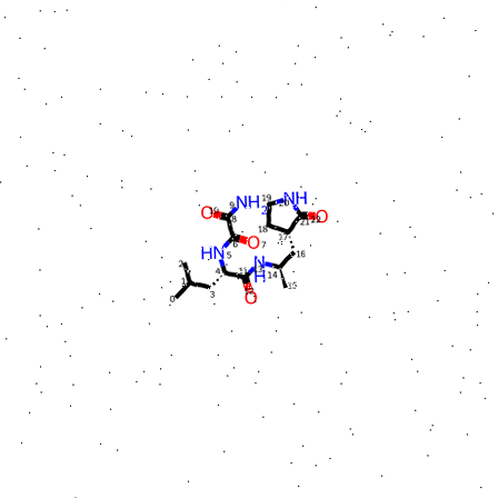 CC(C)C[C@H](NC(=O)C(N)=O)C(=O)N[C@H](C)C[C@@H]1CCNC1=O